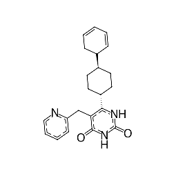 O=c1[nH]c(=O)c(Cc2ccccn2)c([C@H]2CC[C@H](C3C=CC=CC3)CC2)[nH]1